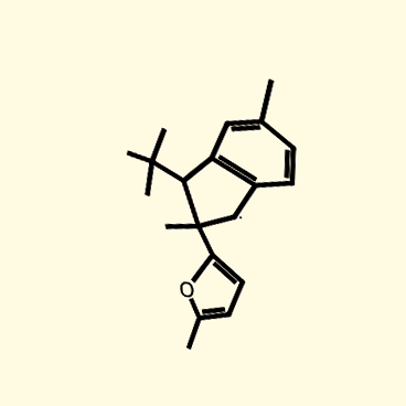 Cc1ccc2c(c1)C(C(C)(C)C)C(C)(c1ccc(C)o1)[CH]2